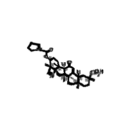 C[C@]1(C(=O)O)CC[C@]2(C)CC[C@]3(C)C(=CC(=O)[C@@H]4[C@@]5(C)CC[C@H](OC(=O)N6CCCC6)[C@@]6(C)C=N[C@]65CC[C@]43C)[C@@H]2C1